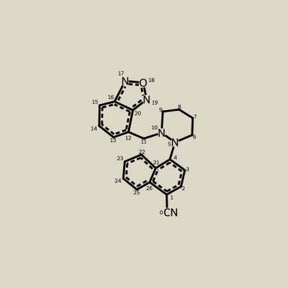 N#Cc1ccc(N2CCCCN2Cc2cccc3nonc23)c2ccccc12